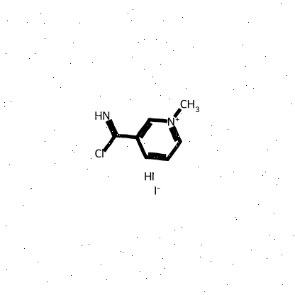 C[n+]1cccc(C(=N)Cl)c1.I.[I-]